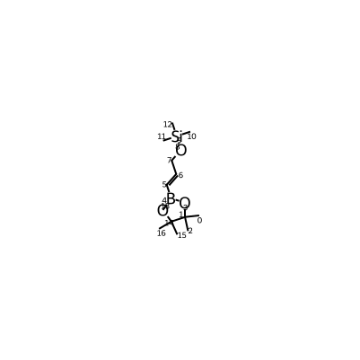 CC1(C)OB(/C=C/CO[Si](C)(C)C)OC1(C)C